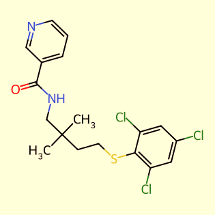 CC(C)(CCSc1c(Cl)cc(Cl)cc1Cl)CNC(=O)c1cccnc1